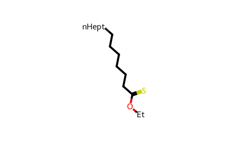 CCCCCCCCCCCCCC(=S)OCC